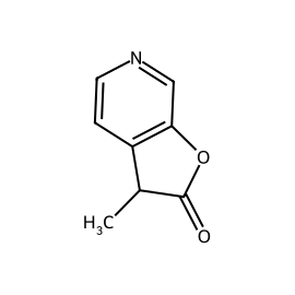 CC1C(=O)Oc2cnccc21